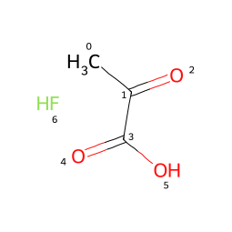 CC(=O)C(=O)O.F